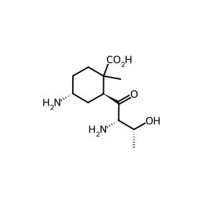 C[C@@H](O)[C@H](N)C(=O)[C@H]1C[C@H](N)CCC1(C)C(=O)O